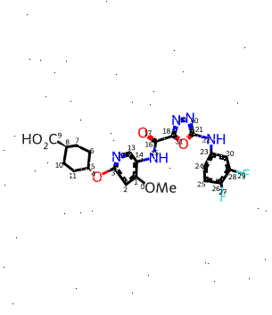 COc1cc(O[C@H]2CC[C@H](C(=O)O)CC2)ncc1NC(=O)c1nnc(Nc2ccc(F)c(F)c2)o1